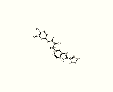 CN(Cc1ccc(Cl)c(Cl)c1)C(=O)Nc1ccc2[nH]c(-c3cscn3)nc2c1